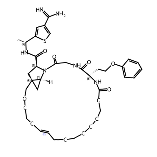 C[C@@H](NC(=O)[C@@H]1C[C@@]23COCCC/C=C/CCCCCCCCC(=O)N[C@@H](CCOc4ccccc4)C(=O)NCC(=O)N1[C@H]2C3)c1cc(C(=N)N)cs1